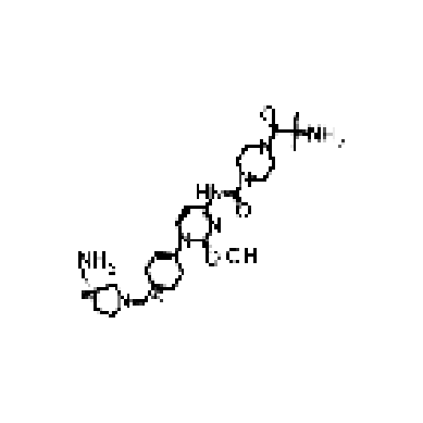 CC(C)(N)C(=O)N1CCN(C(=O)Nc2ccn(C3=CC[C@H](CN4CC[C@H](CN)C4)CC3)c(=O)n2)CC1.Cl